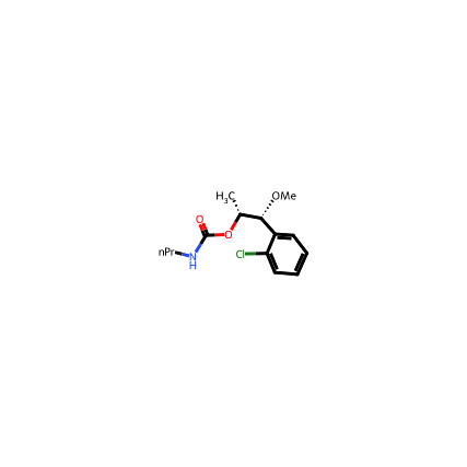 CCCNC(=O)O[C@H](C)[C@H](OC)c1ccccc1Cl